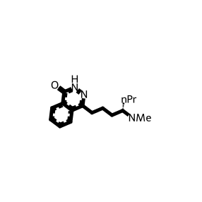 CCC[C@@H](CCCc1n[nH]c(=O)c2ccccc12)NC